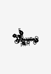 O=C(CCOCCN1C(=O)C=CC1=O)NCCNC(=O)N(C[C@@H]1CNC[C@@H]1F)[C@@H](c1nc(-c2cc(F)ccc2F)cn1Cc1ccccc1)C1CCOCC1